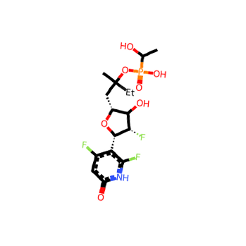 CCC(C)(C[C@H]1O[C@@H](c2c(F)cc(=O)[nH]c2F)[C@@H](F)C1O)OP(=O)(O)C(C)O